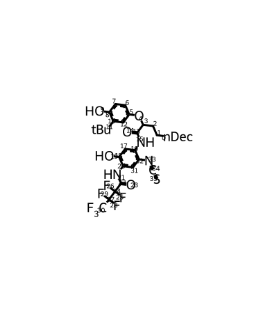 CCCCCCCCCCCCC(Oc1ccc(O)c(C(C)(C)C)c1)C(=O)Nc1cc(O)c(NC(=O)C(F)(F)C(F)(F)C(F)(F)F)cc1N=C=S